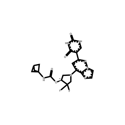 O=C(NC12CC(C1)C2)O[C@H]1CN(c2cc(-c3c[nH]c(=O)[nH]c3=O)nn3ccnc23)CC1(F)F